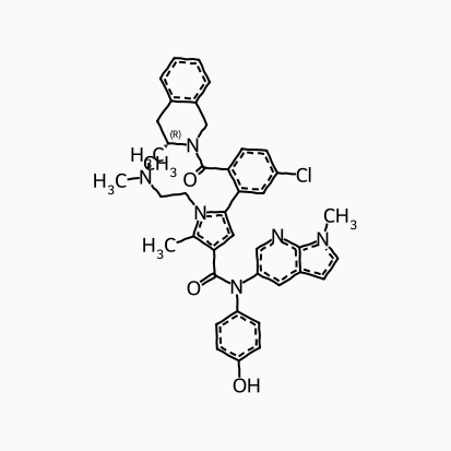 Cc1c(C(=O)N(c2ccc(O)cc2)c2cnc3c(ccn3C)c2)cc(-c2cc(Cl)ccc2C(=O)N2Cc3ccccc3C[C@H]2C)n1CCN(C)C